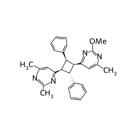 COc1nc(C)cc([C@H]2[C@H](c3ccccc3)[C@@H](c3cc(C)nc(C)n3)[C@H]2c2ccccc2)n1